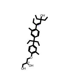 CC/C(=C\C(O)(CC)CC)c1ccc(C(CC)(CC)c2ccc(OC[C@@H](O)CO)c(C)c2)cc1C